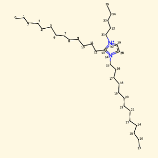 CCCCCCCCCCCCCc1n(CCCCCCCCCCCCC)cc[n+]1CCCCC